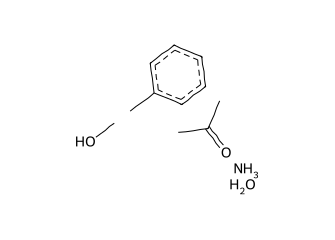 CC(C)=O.CO.Cc1ccccc1.N.O